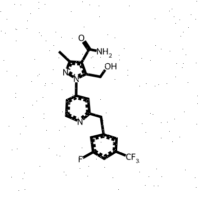 Cc1nn(-c2ccnc(Cc3cc(F)cc(C(F)(F)F)c3)c2)c(CO)c1C(N)=O